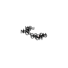 C[C@@H]1C[C@H]2[C@@H]3CCC4=CC(=O)C=C[C@]4(C)[C@H]3[C@@H](O)C[C@]2(C)[C@@]1(O)C(=O)COC(=O)CCC(=O)OCc1ccc([C@@H](CNC(=O)OC(C)(C)C)C(=O)Nc2ccc3cnccc3c2)cc1